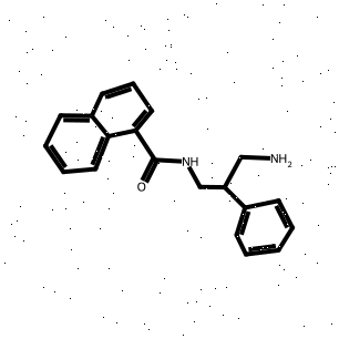 NCC(CNC(=O)c1cccc2ccccc12)c1ccccc1